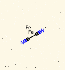 N#CC#N.[Fe].[Fe]